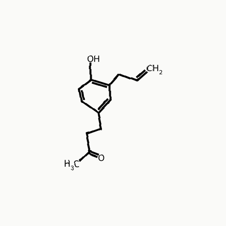 C=CCc1cc(CCC(C)=O)ccc1O